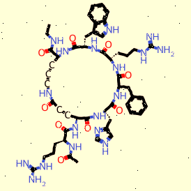 CCNC(=O)C1CCCNC(=O)CC[C@H](NC(=O)[C@H](CCCNC(=N)N)NC(C)=O)C(=O)N[C@@H](Cc2c[nH]cn2)C(=O)NC(Cc2ccccc2)C(=O)N[C@@H](CCCNC(=N)N)C(=O)N[C@@H](Cc2c[nH]c3ccccc23)C(=O)N1